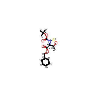 C[C@@H]1OSN(C(=O)OC(C)(C)C)[C@@H]1C(=O)OCc1ccccc1